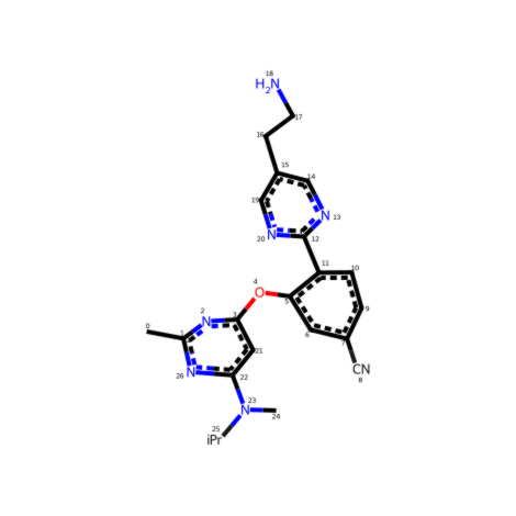 Cc1nc(Oc2cc(C#N)ccc2-c2ncc(CCN)cn2)cc(N(C)C(C)C)n1